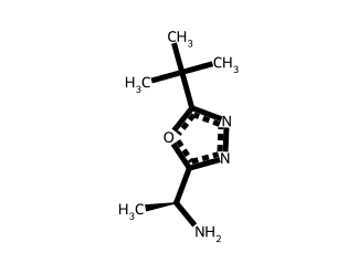 C[C@H](N)c1nnc(C(C)(C)C)o1